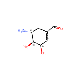 N[C@@H]1CC(C=O)=C[C@@H](O)[C@H]1O